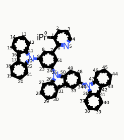 CC(C)c1cccnc1-c1cc(-n2c3ccccc3c3ccccc32)cc(-n2c3ccccc3c3cc(-n4c5ccccc5c5ccccc54)ccc32)c1